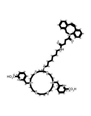 O=C(CCC(=O)N1Cc2ccccc2C#Cc2ccccc21)NCCCCCCS[C@@H]1COCCN(Cc2cccc(C(=O)O)n2)CCOCCOCCN(Cc2cccc(C(=O)O)n2)CCO1